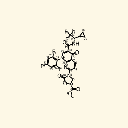 COC(=O)[C@@H]1CN(c2ccc3c(=O)c(C(=O)N[C@@H](C4CC4)C(F)(F)F)cn(-c4c(F)cc(F)cc4F)c3n2)C(=O)O1